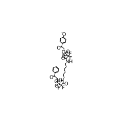 COc1ccc(C(=O)COS(=O)(=O)C(F)(F)C(=O)NCCCCCCNC(=O)C(F)(F)S(=O)(=O)OCC(=O)c2ccccc2)cc1